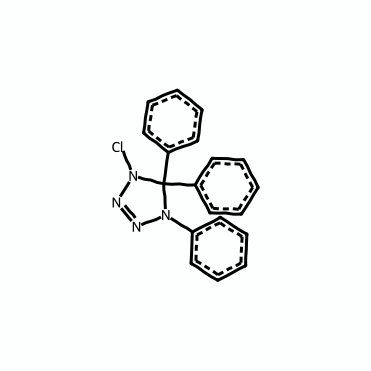 ClN1N=NN(c2ccccc2)C1(c1ccccc1)c1ccccc1